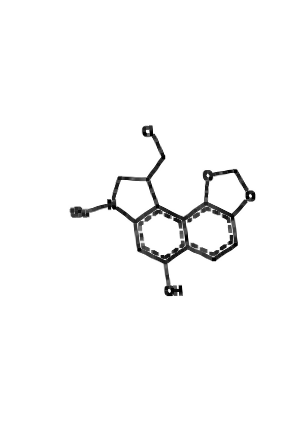 CC(C)(C)N1CC(CCl)c2c1cc(O)c1ccc3c(c21)OCO3